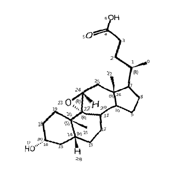 C[C@H](CCC(=O)O)C1CCC2C3CC[C@@H]4C[C@H](O)CC[C@]4(C)[C@]34O[C@@H]4C[C@@]21C